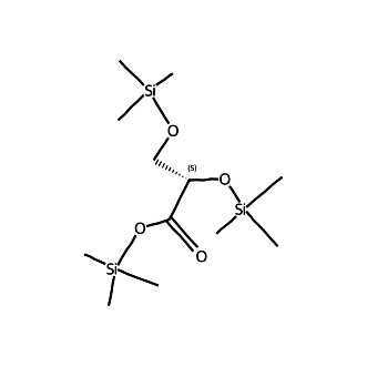 C[Si](C)(C)OC[C@H](O[Si](C)(C)C)C(=O)O[Si](C)(C)C